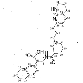 O=C(NCC(C(=O)O)c1ccc2c(c1)CCCC2)C1CCCN(CCCc2ccc3c(n2)NCCC3)C1